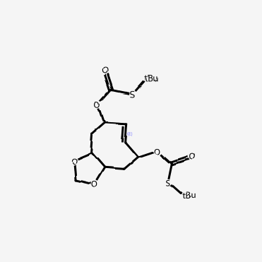 CC(C)(C)SC(=O)OC1/C=C/C(OC(=O)SC(C)(C)C)CC2OCOC2C1